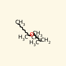 C=CC(C)CCCC(C)(C)OC=C(C)CCCCCCCCC